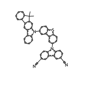 CC1(C)c2ccccc2-c2cc3c4ccccc4n(-c4ccc5sc6ccc(-n7c8ccc(C#N)cc8c8cc(C#N)ccc87)cc6c5c4)c3cc21